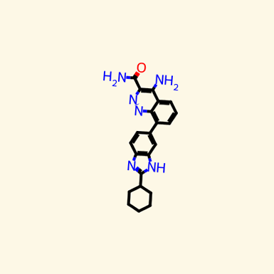 NC(=O)c1nnc2c(-c3ccc4nc(C5CCCCC5)[nH]c4c3)cccc2c1N